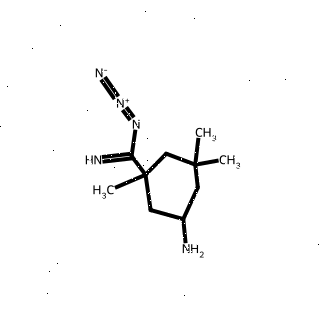 CC1(C)CC(N)CC(C)(C(=N)N=[N+]=[N-])C1